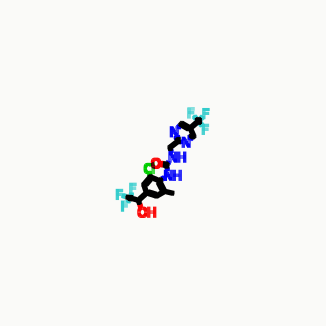 Cc1cc(C(O)C(F)(F)F)cc(Cl)c1NC(=O)NCc1ncc(C(F)(F)F)cn1